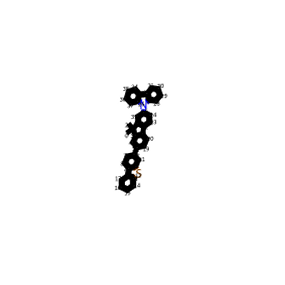 CC1(C)c2cc(-c3ccc4c(c3)sc3ccccc34)ccc2-c2ccc(-n3c4ccccc4c4ccccc43)cc21